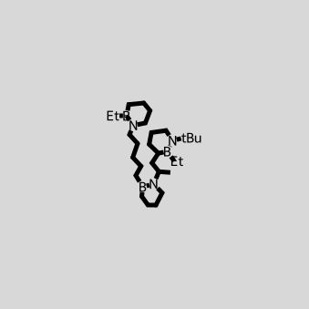 CCB1CCCCN1CCCCCB1CCCCN1C(C)CC1CCCN(C(C)(C)C)B1CC